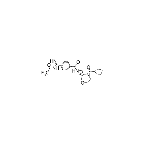 N=C(NC(=O)C(F)(F)F)c1ccc(C(=O)NC[C@@H]2COCCN2C(=O)C2CCCC2)cc1